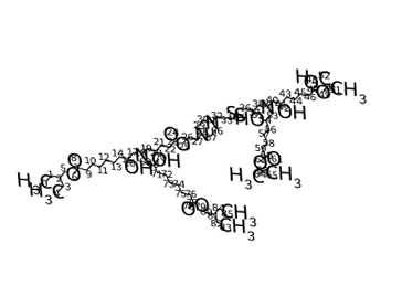 CCC(CC)COC(=O)CCCCCCC(O)CN(CCCCC(=O)OCCN1CCN(CCSSCCCN(CC(O)CCCCC(=O)OC(C)C)CC(O)CCCCC(=O)OC(C)C)CC1)CC(O)CCCCCCC(=O)OCC(CC)CC